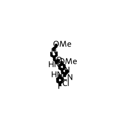 COCCN1CCC(=CC(=O)Nc2cc3c(Nc4ccc(F)c(Cl)c4)c(C#N)cnc3cc2OC)CC1